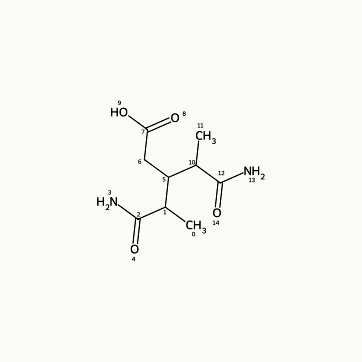 CC(C(N)=O)C(CC(=O)O)C(C)C(N)=O